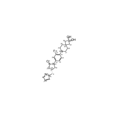 O=C1O[C@@H](Cn2cncn2)CN1c1ccc(N2CCC3(CC2)CS(O)(O)C3)c(F)c1